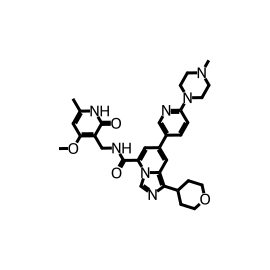 COc1cc(C)[nH]c(=O)c1CNC(=O)c1cc(-c2ccc(N3CCN(C)CC3)nc2)cc2c(C3CCOCC3)ncn12